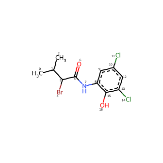 CC(C)C(Br)C(=O)Nc1cc(Cl)cc(Cl)c1O